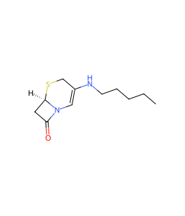 CCCCCNC1=CN2C(=O)C[C@H]2SC1